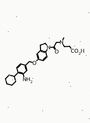 CN(CCC(=O)O)CC(=O)N1CCc2cc(OCc3ccc(C4CCCCC4)c(N)c3)ccc21